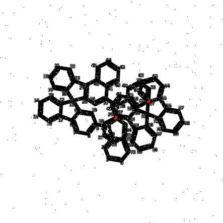 c1ccc(N(c2ccc3c(c2)C2(c4ccccc4-3)c3ccccc3-c3c2cc(N(c2ccccc2)c2ccccc2)c2ccccc32)c2cccc3c2-c2ccccc2C32c3ccccc3-c3ccccc32)cc1